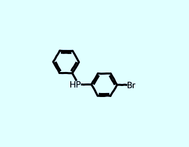 Brc1ccc(Pc2ccccc2)cc1